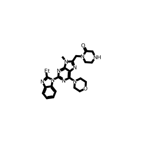 CCc1nc2ccccc2n1-c1nc(N2CCOCC2)c2nc(CN3CCNCC3=O)n(C)c2n1